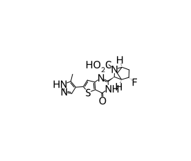 Cc1[nH]ncc1-c1cc2nc([C@@H]3[C@H]4C[C@H](C[C@@H]4F)N3C(=O)O)[nH]c(=O)c2s1